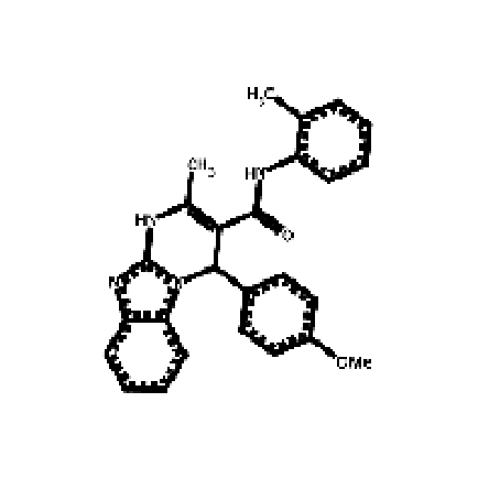 COc1ccc(C2C(C(=O)Nc3ccccc3C)=C(C)Nc3nc4ccccc4n32)cc1